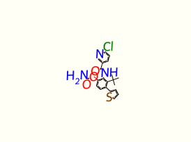 CC(C)(C)c1c(-c2cccs2)ccc(OC(N)=O)c1NC(=O)c1ccc(Cl)nc1